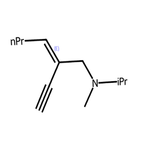 C#C/C(=C\CCC)CN(C)C(C)C